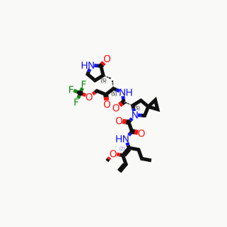 C=C/C(OC)=C(\CCC)NC(=O)C(=O)N1CC2(CC2)C[C@H]1C(=O)N[C@@H](C[C@@H]1CCNC1=O)C(=O)COC(F)(F)F